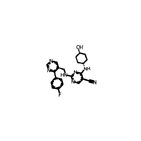 N#Cc1cnc(NCc2cncnc2-c2ccc(F)cc2)nc1N[C@H]1CC[C@H](O)CC1